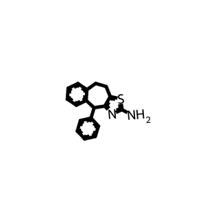 Nc1nc2c(s1)CCc1ccccc1C2c1ccccc1